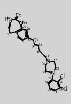 O=C1NCCc2ccc(OCCCCN3CCN(c4cccc(Cl)c4Cl)CC3)cc2N1